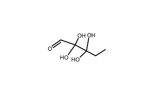 CCC(O)(O)C(O)(O)C=O